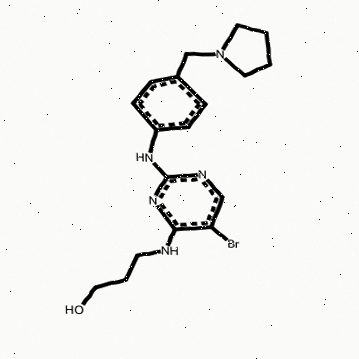 OCCCNc1nc(Nc2ccc(CN3CCCC3)cc2)ncc1Br